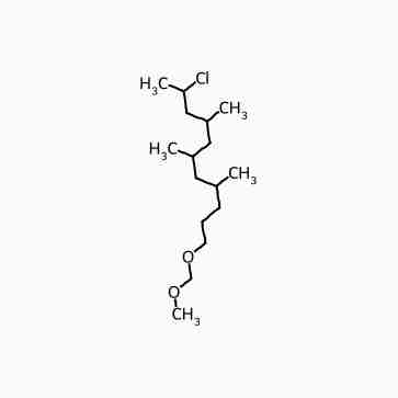 COCOCCCC(C)CC(C)CC(C)CC(C)Cl